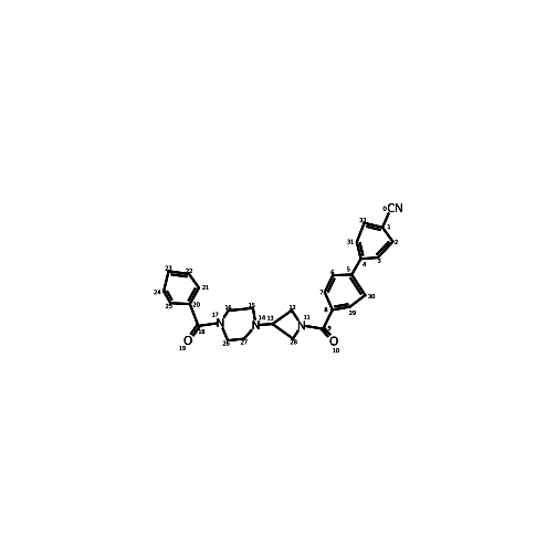 N#Cc1ccc(-c2ccc(C(=O)N3CC(N4CCN(C(=O)c5ccccc5)CC4)C3)cc2)cc1